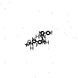 CC(C)(C)CC(=O)Nc1cncc(-c2cc3c(-c4nc5c(-c6ccc(F)cc6)ccnc5[nH]4)n[nH]c3cc2F)c1